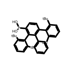 CC(C)(C)c1cccc(C(C)(C)C)c1-c1ccc(P(O)O)c(-c2c(C(C)(C)C)cccc2C(C)(C)C)c1-c1ccccc1